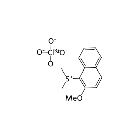 COc1ccc2ccccc2c1[S+](C)C.[O-][Cl+3]([O-])([O-])[O-]